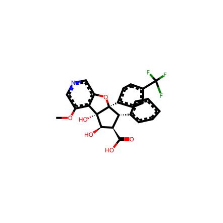 COc1cncc2c1[C@]1(O)[C@H](O)[C@H](C(=O)O)[C@@H](c3ccccc3)[C@]1(c1ccc(C(F)(F)F)cc1)O2